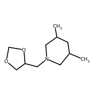 CC1CC(C)CN(CC2COCO2)C1